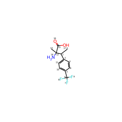 CC(c1ccc(C(F)(F)F)cc1)C(C)(N)C(=O)O